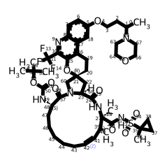 CC(CCOc1ccc2nc(C(F)(F)F)c3c(c2c1)CC[C@]1(C[C@H]2C(=O)N[C@@](C)(C(=O)NS(=O)(=O)C4(C)CC4)[C@@H](C)/C=C\CCCCC[C@H](NC(=O)OC(C)(C)C)C(=O)N2C1)O3)N1CCOCC1